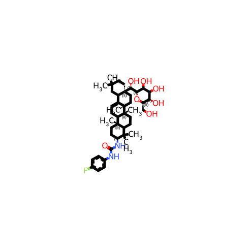 CC1(C)CC[C@]2([C@H](O)[C@H]3O[C@H](CO)[C@H](O)C(O)C3O)CC[C@]3(C)C(=CCC4[C@@]5(C)CC[C@H](NC(=O)Nc6ccc(F)cc6)C(C)(C)C5CC[C@]43C)C2C1